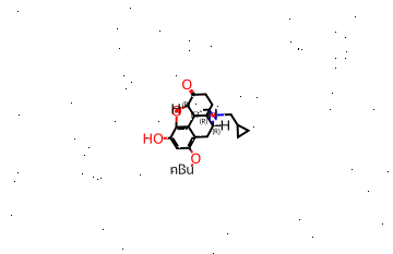 CCCCOc1cc(O)c2c3c1C[C@@H]1[C@@H]4CCC(=O)[C@H](O2)[C@]34CCN1CC1CC1